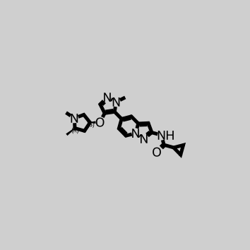 C[C@@H]1C[C@H](Oc2cnn(C)c2-c2ccn3nc(NC(=O)C4CC4)cc3c2)CN1C